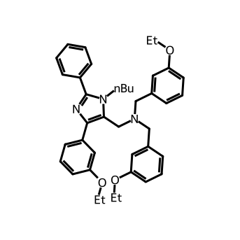 CCCCn1c(-c2ccccc2)nc(-c2cccc(OCC)c2)c1CN(Cc1cccc(OCC)c1)Cc1cccc(OCC)c1